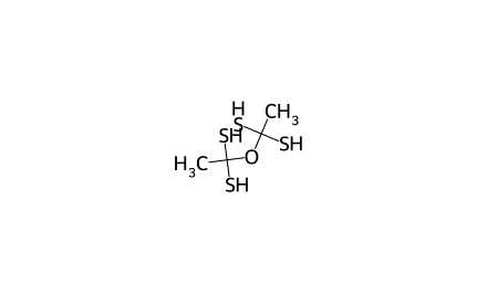 CC(S)(S)OC(C)(S)S